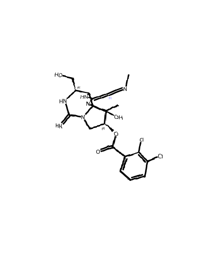 C/N=C1\NC2[C@H](CO)NC(=N)N3C[C@H](OC(=O)c4cccc(Cl)c4Cl)C(C)C23N1O